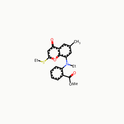 CCSc1cc(=O)c2cc(C)cc(N(CC)c3ccccc3C(=O)OC)c2o1